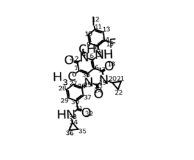 Cc1c(=O)n(C)c(Nc2ccc(I)cc2F)c2c(=O)n(C3CC3)c(=O)n(-c3cccc(C(=O)NC4CC4)c3)c12